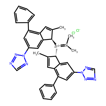 CC1=Cc2c(-c3ccccc3)cc(-n3ncnn3)cc2[C@@H]1[Zr+2]([C@H]1C(C)=Cc2c(-c3ccccc3)cc(-n3ncnn3)cc21)=[Si](C)C.[Cl-].[Cl-]